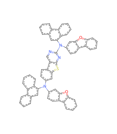 c1ccc2c(c1)cc(N(c1ccc3c(c1)oc1ccccc13)c1ccc3c(c1)sc1nc(N(c4ccc5c(c4)oc4ccccc45)c4cc5ccccc5c5ccccc45)ncc13)c1ccccc12